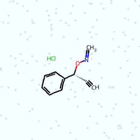 C#C[C@@H](ON=C)c1ccccc1.Cl